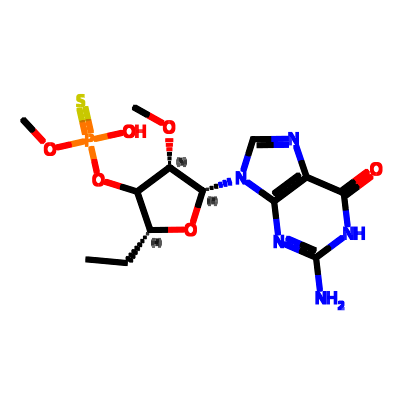 CC[C@H]1O[C@@H](n2cnc3c(=O)[nH]c(N)nc32)[C@@H](OC)C1OP(O)(=S)OC